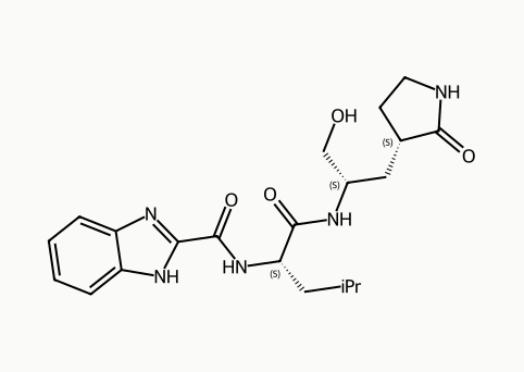 CC(C)C[C@H](NC(=O)c1nc2ccccc2[nH]1)C(=O)N[C@H](CO)C[C@@H]1CCNC1=O